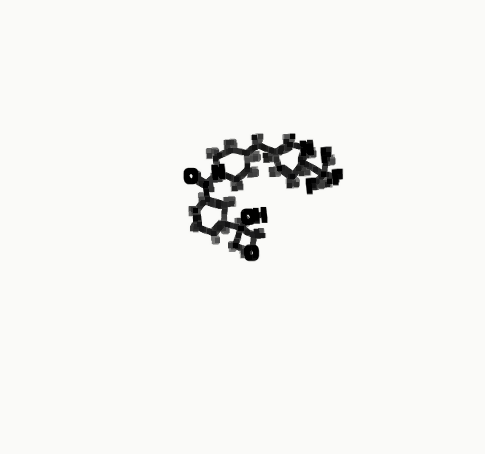 O=C(c1cccc(C2(O)COC2)c1)N1CCC(Cc2ccc(C(F)(F)F)nc2)CC1